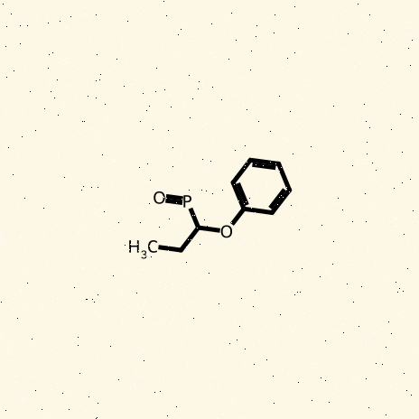 CCC(Oc1ccccc1)P=O